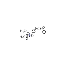 C=CCC/C(=N\OC(C)=O)C(=O)c1ccc(Sc2ccc(C(=O)c3ccccc3)cc2)cc1